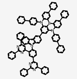 c1ccc(-c2ccc(N3c4ccc(-c5ccccc5)cc4B4c5cc(-c6ccccc6)ccc5N(c5ccc(-c6ccccc6)cc5)c5cc(-c6ccc7c(c6)c6ccccc6n7-c6ccc(-c7cc(-c8ccccc8)nc(-c8ccccc8)n7)cc6-c6cc(-c7ccccc7)nc(-c7ccccc7)n6)cc3c54)cc2)cc1